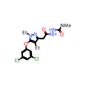 CCc1c(CC(=O)NNC(=O)NC)nn(CC)c1Oc1cc(Cl)cc(Cl)c1